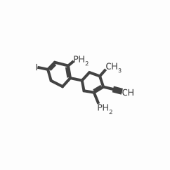 C#CC1=C(P)CC(C2=C(P)C=C(I)CC2)CC1C